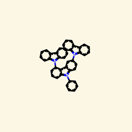 c1ccc(-n2c3ccc(-n4c5ccccc5c5ccccc54)cc3c3c(-n4c5ccccc5c5ccccc54)cccc32)cc1